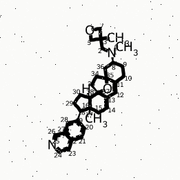 CN(CC1(C)COC1)[C@H]1CCC2=CC3=CC[C@]4(C)[C@@H](c5ccc6ccncc6c5)CC[C@H]4[C@@]34CCC2(C1)O4